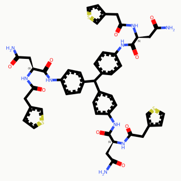 NC(=O)C[C@H](NC(=O)Cc1ccsc1)C(=O)Nc1ccc(C(c2ccc(NC(=O)[C@H](CC(N)=O)NC(=O)Cc3ccsc3)cc2)c2ccc(NC(=O)[C@H](CC(N)=O)NC(=O)Cc3ccsc3)cc2)cc1